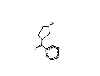 O=C(c1ccccc1)N1CC[C@@H](S)C1